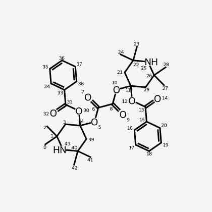 CC1(C)CC(OC(=O)C(=O)OC2(OC(=O)c3ccccc3)CC(C)(C)NC(C)(C)C2)(OC(=O)c2ccccc2)CC(C)(C)N1